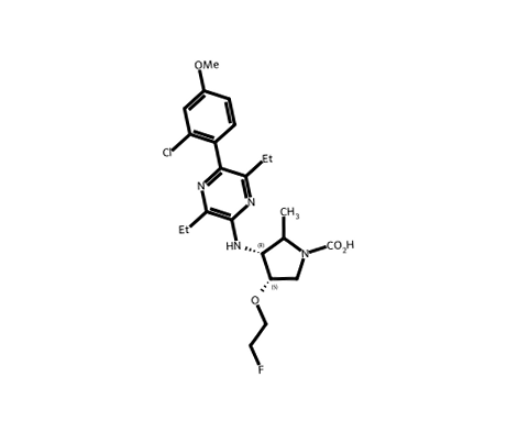 CCc1nc(-c2ccc(OC)cc2Cl)c(CC)nc1N[C@@H]1C(C)N(C(=O)O)C[C@@H]1OCCF